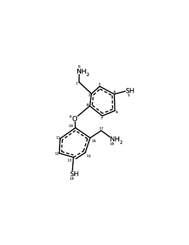 NCc1cc(S)ccc1Oc1ccc(S)cc1CN